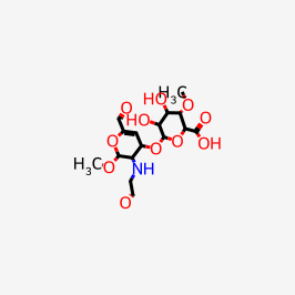 COC1OC(C=O)=CC(OC2OC(C(=O)O)C(OC)C(O)C2O)C1NCC=O